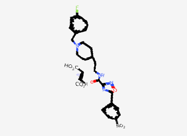 O=C(NCCC1CCN(Cc2ccc(F)cc2)CC1)c1noc(-c2ccc([N+](=O)[O-])cc2)n1.O=C(O)/C=C/C(=O)O